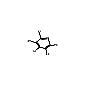 CC(C)c1nc(O)c(O)c(O)c1O